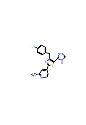 Cc1cc(-c2nc(Cc3ccc(Cl)cc3)c(-c3nnc[nH]3)s2)ccn1